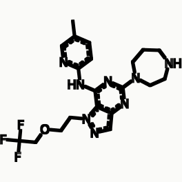 Cc1ccc(Nc2nc(N3CCCNCC3)nc3cnn(CCOCC(F)(F)F)c23)nc1